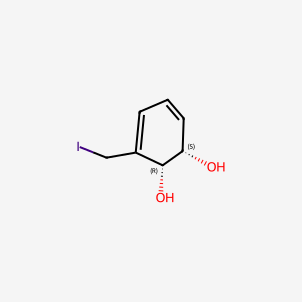 O[C@@H]1C(CI)=CC=C[C@@H]1O